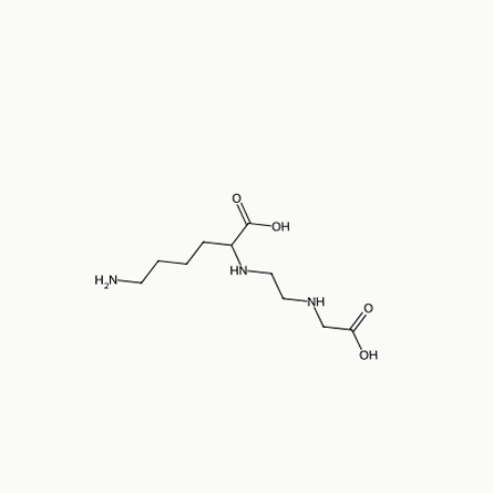 NCCCCC(NCCNCC(=O)O)C(=O)O